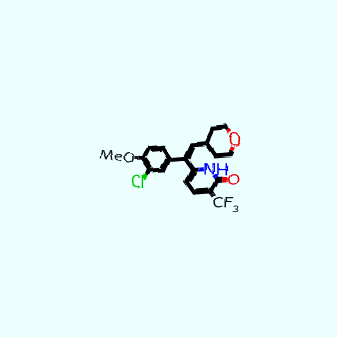 COc1ccc(/C(=C/C2CCOCC2)c2ccc(C(F)(F)F)c(=O)[nH]2)cc1Cl